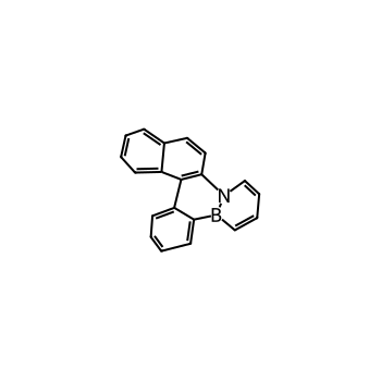 C1=CB2c3ccccc3-c3c(ccc4ccccc34)N2C=C1